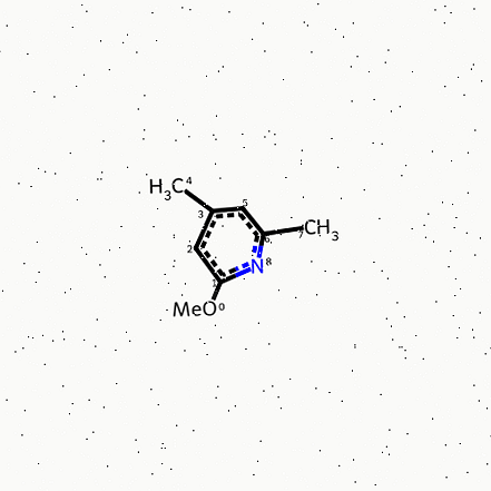 COc1cc(C)cc(C)n1